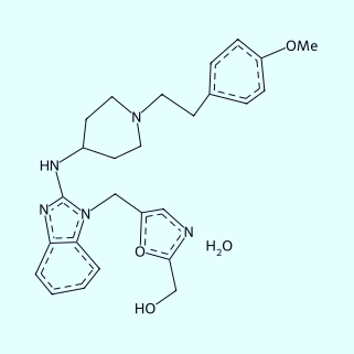 COc1ccc(CCN2CCC(Nc3nc4ccccc4n3Cc3cnc(CO)o3)CC2)cc1.O